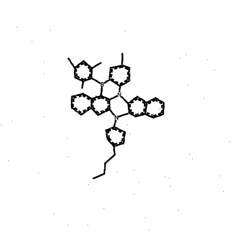 CCCCc1ccc(N2c3cc4ccccc4cc3N3c4ccc(C)cc4B(c4c(C)cc(C)cc4C)c4c3c2cc2ccccc42)cc1